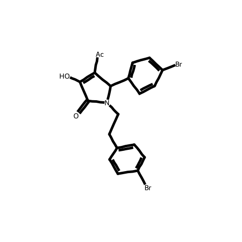 CC(=O)C1=C(O)C(=O)N(CCc2ccc(Br)cc2)C1c1ccc(Br)cc1